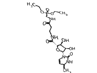 C=C1C=CN([C@@H]2O[C@H](C(=O)NCCC(=O)NCP(=O)(OCC)OCC)[C@@H](O)[C@H]2O)C(=O)N1